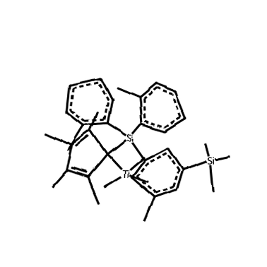 CC1=C(C)[C]([Si](c2cc(C)cc([Si](C)(C)C)c2)(c2ccccc2C)c2ccccc2C)([Ti]([CH3])([CH3])[CH3])C(C)=C1C